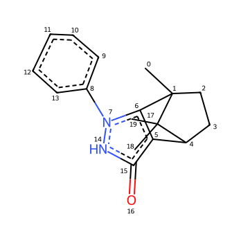 CC12CCC(c3c1n(-c1ccccc1)[nH]c3=O)C2(C)C